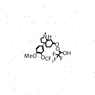 COc1ccc([C@@]23CCC(=O)C[C@@H]2N(C)CC3)cc1OC(F)(F)F.O=C(O)C(F)(F)F